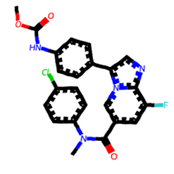 COC(=O)Nc1ccc(-c2cnc3c(F)cc(C(=O)N(C)c4ccc(Cl)cc4)cn23)cc1